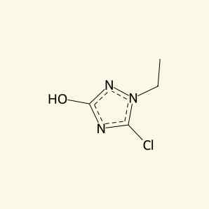 CCn1nc(O)nc1Cl